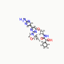 C[C@H]1COCCN1c1nc(O[C@H]2C[C@H](NC(=O)[C@H](O)c3ccccc3)C2)cc(-c2cnc(N)nc2)n1